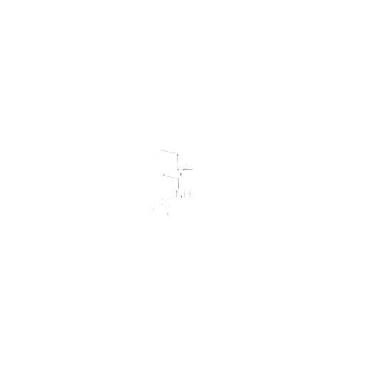 CC1(C)C2CC[C@]13CS(=O)(=O)NC3C2